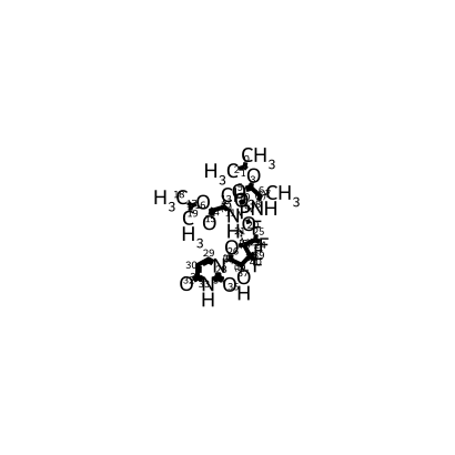 CC(C)OC(=O)[C@H](C)NP(=O)(N[C@@H](C)C(=O)OC(C)C)OC[C@@]1(C(F)F)O[C@@H](n2ccc(=O)[nH]c2=O)[C@H](O)C1(F)F